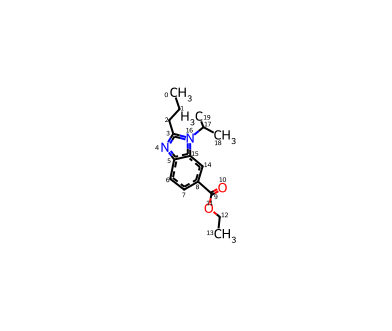 CCCc1nc2ccc(C(=O)OCC)cc2n1C(C)C